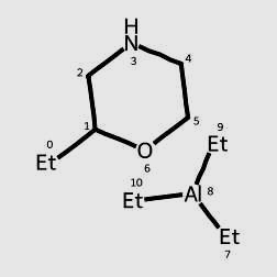 CCC1CNCCO1.C[CH2][Al]([CH2]C)[CH2]C